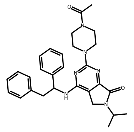 CC(=O)N1CCN(c2nc(NC(Cc3ccccc3)c3ccccc3)c3c(n2)C(=O)N(C(C)C)C3)CC1